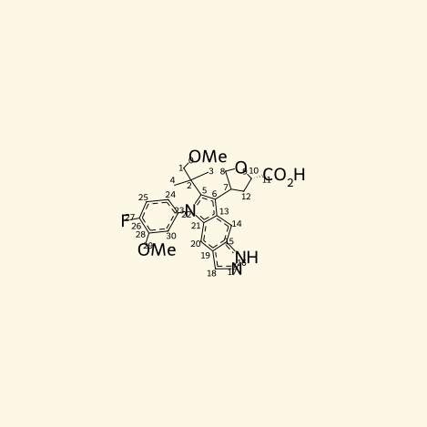 COCC(C)(C)c1c(C2CO[C@H](C(=O)O)C2)c2cc3[nH]ncc3cc2n1-c1ccc(F)c(OC)c1